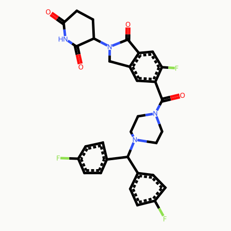 O=C1CCC(N2Cc3cc(C(=O)N4CCN(C(c5ccc(F)cc5)c5ccc(F)cc5)CC4)c(F)cc3C2=O)C(=O)N1